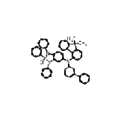 CC1(C)c2ccccc2-c2c(N(c3ccc4c(c3)N(c3ccccc3)P(=O)(c3ccccc3)N4c3ccccc3)C3C=CC=C(c4ccccc4)C3)cccc21